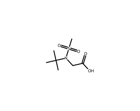 CC(C)(C)N(CC(=O)O)S(C)(=O)=O